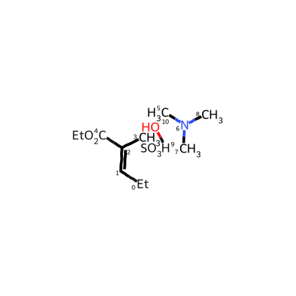 CCC=C(C)C(=O)OCC.CN(C)C.O=S(=O)(O)O